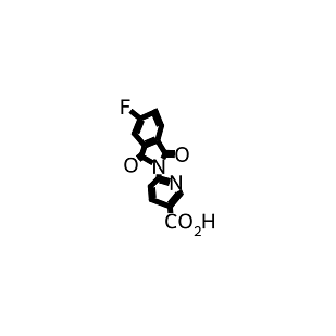 O=C(O)c1ccc(N2C(=O)c3ccc(F)cc3C2=O)nc1